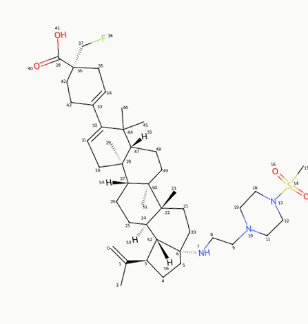 C=C(C)[C@@H]1CC[C@]2(NCCN3CCN(S(C)(=O)=O)CC3)CC[C@]3(C)[C@H](CC[C@@H]4[C@@]5(C)CC=C(C6=CC[C@](CF)(C(=O)O)CC6)C(C)(C)[C@@H]5CC[C@]43C)[C@@H]12